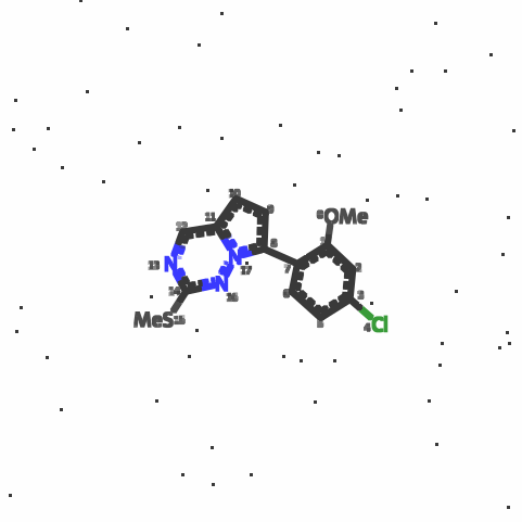 COc1cc(Cl)ccc1-c1ccc2cnc(SC)nn12